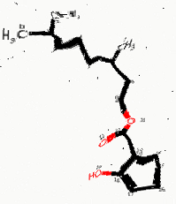 CC(C)CCCC(C)CCOC(=O)c1ccccc1O